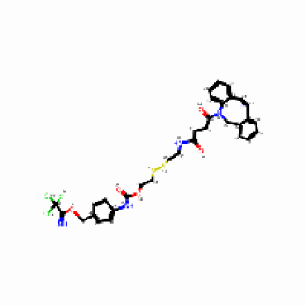 N=C(OCc1ccc(NC(=O)OCCSSCCNC(=O)CCC(=O)N2Cc3ccccc3/C=C\c3ccccc32)cc1)C(Cl)(Cl)Cl